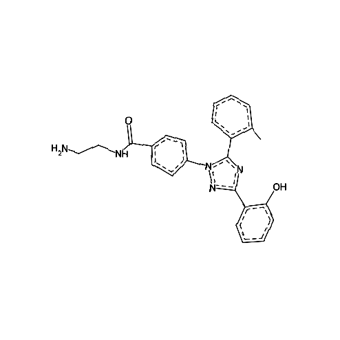 Cc1ccccc1-c1nc(-c2ccccc2O)nn1-c1ccc(C(=O)NCCN)cc1